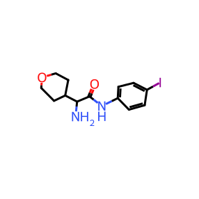 NC(C(=O)Nc1ccc(I)cc1)C1CCOCC1